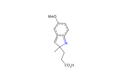 COc1ccc2c(c1)=CC(C)(CCC(=O)O)N=2